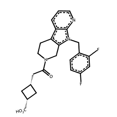 O=C(C[C@H]1C[C@@H](C(=O)O)C1)N1CCc2c(n(Cc3ccc(F)cc3F)c3ncccc23)C1